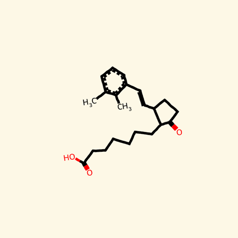 Cc1cccc(C=CC2CCC(=O)C2CCCCCCC(=O)O)c1C